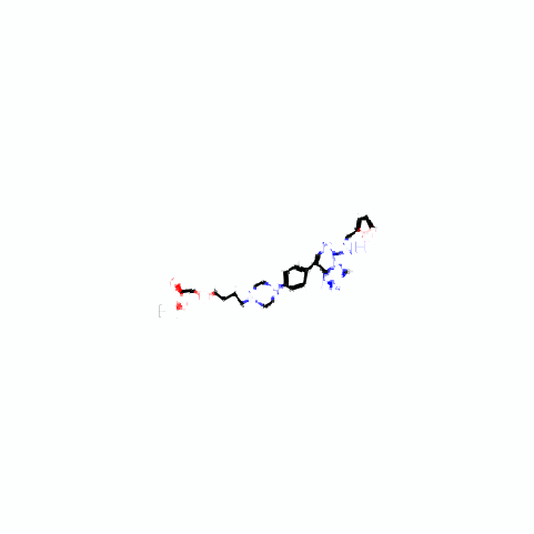 CC(C)(C)OC(=O)COCCCCN1CCN(c2ccc(-c3cnc(NCc4ccco4)n4cnnc34)cc2)CC1